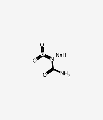 NC(=O)N=S(=O)=O.[NaH]